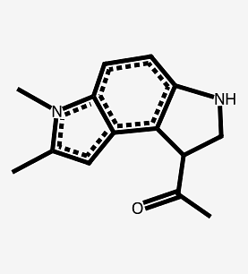 CC(=O)C1CNc2ccc3c(cc(C)n3C)c21